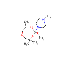 CO[Si]1(N2CCN(C)CC2)OC(C)COCC(C)(C)O1